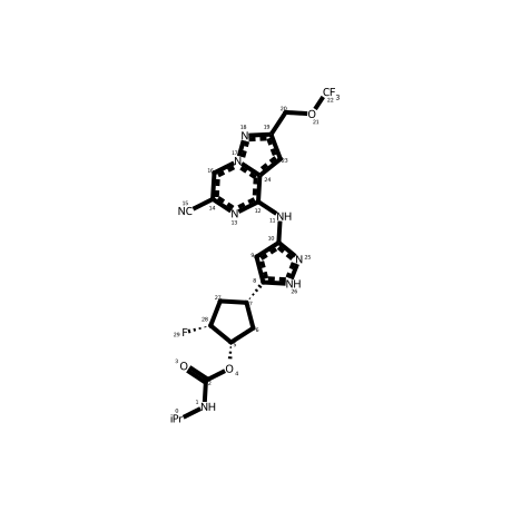 CC(C)NC(=O)O[C@H]1C[C@@H](c2cc(Nc3nc(C#N)cn4nc(COC(F)(F)F)cc34)n[nH]2)C[C@H]1F